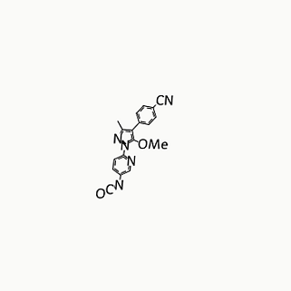 COc1c(-c2ccc(C#N)cc2)c(C)nn1-c1ccc(N=C=O)cn1